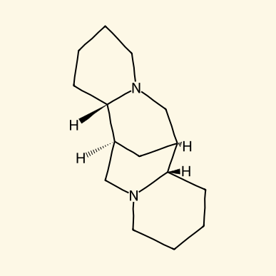 C1CCN2C[C@@H]3C[C@@H](CN4CCCC[C@@H]34)[C@@H]2C1